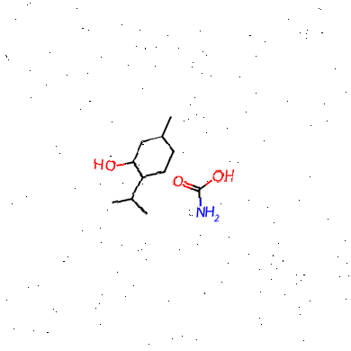 CC1CCC(C(C)C)C(O)C1.NC(=O)O